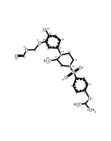 CC(C)Oc1ccc(S(=O)(=O)N2CCN(c3ccc(Cl)c(OCOC=O)c3)C(C)C2)cc1